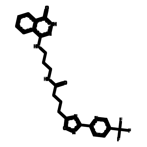 O=C(CCCc1nc(-c2ccc(C(F)(F)F)cn2)no1)NCCCNc1n[nH]c(=O)c2ccccc12